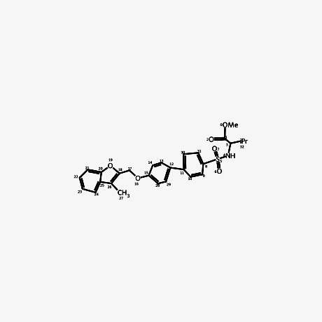 COC(=O)C(NS(=O)(=O)c1ccc(-c2ccc(OCc3oc4ccccc4c3C)cc2)cc1)C(C)C